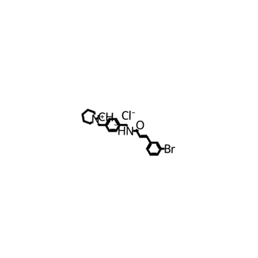 C[N+]1(Cc2ccc(CNC(=O)/C=C/c3cccc(Br)c3)cc2)CCCCC1.[Cl-]